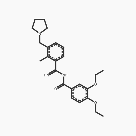 CCOc1ccc(C(=O)NC(=N)c2cccc(CN3CCCC3)c2C)cc1OCC